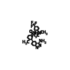 Cc1ccc(C(=O)Nc2cc(C(F)(F)F)ccc2N(C)C)cc1-c1ccc2ncnc(N)c2c1